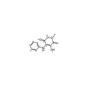 C=C1C(O)=C(Nc2ccccc2)C(=O)OC1C